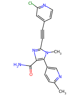 Cc1ccc(-c2c(C(N)=O)nc(C#Cc3ccnc(Cl)c3)n2C)cn1